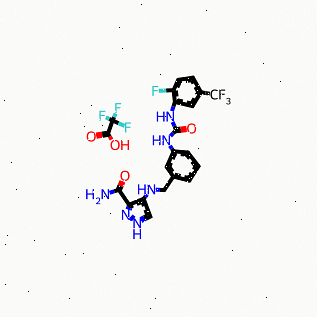 NC(=O)c1n[nH]cc1NCc1cccc(NC(=O)Nc2cc(C(F)(F)F)ccc2F)c1.O=C(O)C(F)(F)F